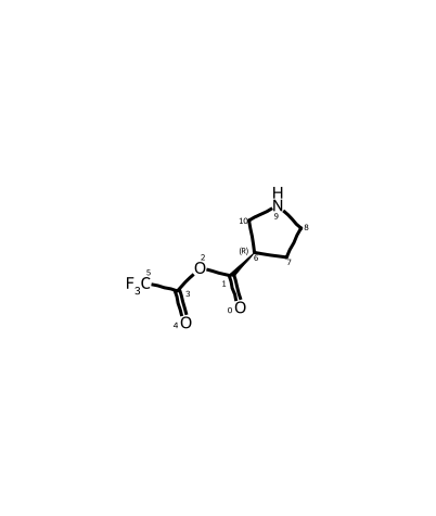 O=C(OC(=O)C(F)(F)F)[C@@H]1CCNC1